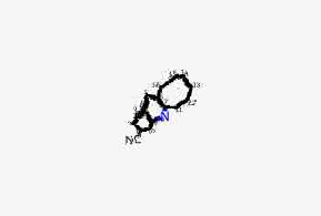 N#Cc1ccc2cc3c(nc2c1)C=CC=CCC3